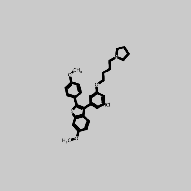 COc1ccc(-c2sc3cc(OC)ccc3c2-c2cccc(OCCCCN3CCCC3)c2)cc1.Cl